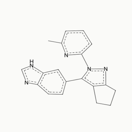 Cc1cccc(-n2nc3c(c2-c2ccc4nc[nH]c4c2)CCC3)n1